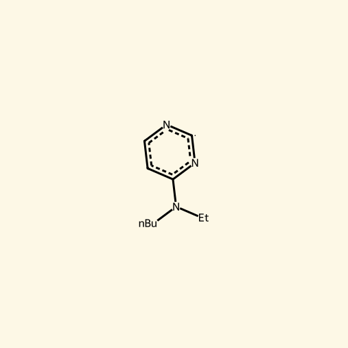 CCCCN(CC)c1ccn[c]n1